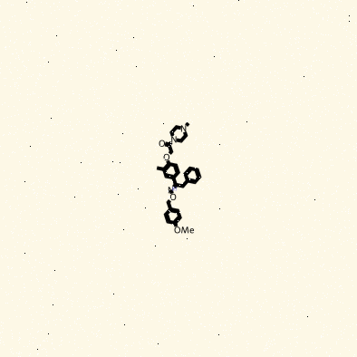 COc1ccc(CO/N=C(\Cc2ccccc2)c2ccc(OCC(=O)N3CCN(C)CC3)c(C)c2)cc1